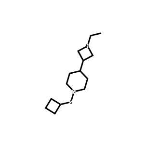 CCN1CC(C2CCN(SC3CCC3)CC2)C1